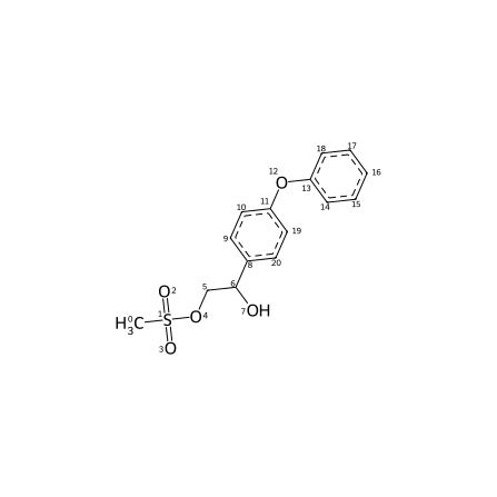 CS(=O)(=O)OCC(O)c1ccc(Oc2ccccc2)cc1